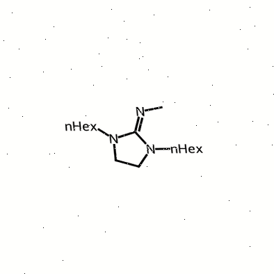 CCCCCCN1CCN(CCCCCC)C1=NC